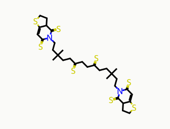 CC(C)(CCC(=S)CCC(=S)CCC(C)(C)CCN1C(=S)C=C2SCCC2C1=S)CCN1C(=S)C=C2SCCC2C1=S